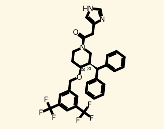 O=C(Cc1c[nH]cn1)N1CC[C@H](OCc2cc(C(F)(F)F)cc(C(F)(F)F)c2)[C@H](C(c2ccccc2)c2ccccc2)C1